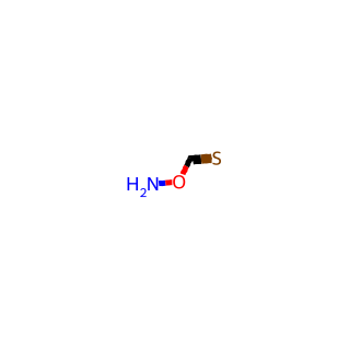 NOC=S